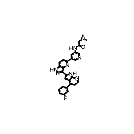 CN(C)CC(=O)Nc1cncc(-c2ccc3[nH]nc(-c4cc5c(-c6cccc(F)c6)ccnc5[nH]4)c3n2)c1